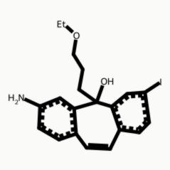 CCOCCCC1(O)c2cc(N)ccc2C=Cc2ccc(I)cc21